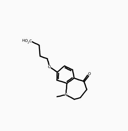 CN1CCCC(=O)c2ccc(OCCCC(=O)O)cc21